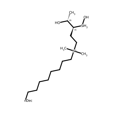 CCCCCCCCCCCCCCCCCC[N+](C)(C)CC[C@H]([SiH2]O)[C@@H](C)O